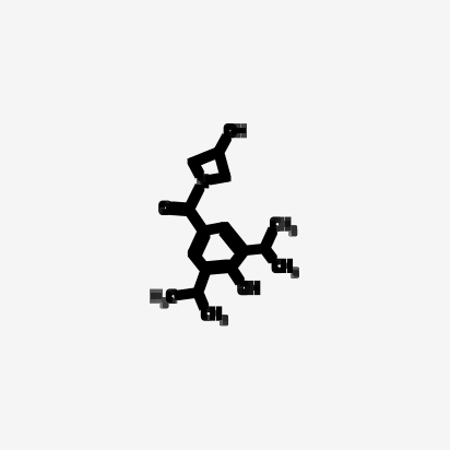 CC(C)c1cc(C(=O)N2CC(O)C2)cc(C(C)C)c1O